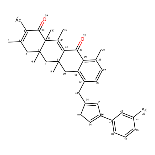 CC(=O)C1=C(C)CC2(C)CC3(C)Cc4c(CC5=CC(c6cccc(C(C)=O)c6)=CC5)ccc(C)c4C(=O)C3=C(C)C2(C)C1=O